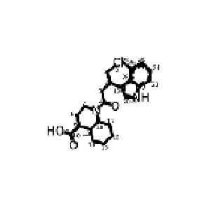 CCC(CC(=O)N1CCC(C(=O)O)C2CCCCC21)c1c[nH]c2cccc(Cl)c12